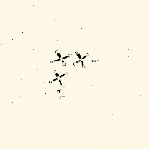 O=P([O-])([O-])[O-].O=P([O-])([O-])[O-].O=P([O-])([O-])[O-].[Al+3].[Cu+2].[Zr+4]